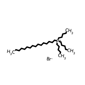 CCCCCCCCCCCCCCCC[P+](CCCCC)(CCCCC)CCCCC.[Br-]